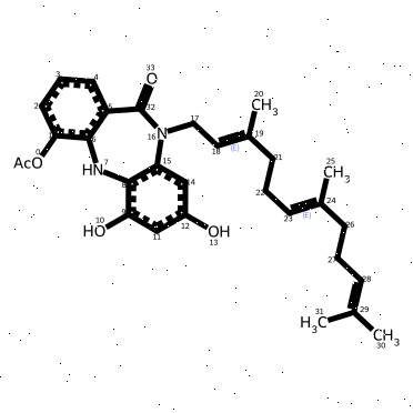 CC(=O)Oc1cccc2c1Nc1c(O)cc(O)cc1N(C/C=C(\C)CC/C=C(\C)CCC=C(C)C)C2=O